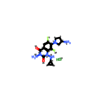 Cl.NC1CCN(c2c(F)cc3c(=O)n(N)c(=O)n(NC4CC4)c3c2F)C1